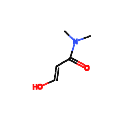 CN(C)C(=O)C=CO